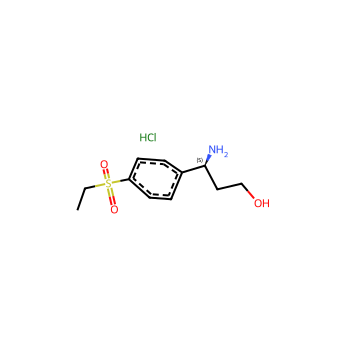 CCS(=O)(=O)c1ccc([C@@H](N)CCO)cc1.Cl